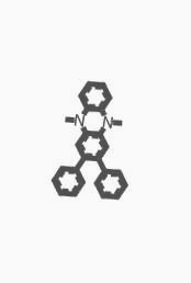 CN1c2ccccc2N(C)c2cc(-c3ccccc3)c(-c3ccccc3)cc21